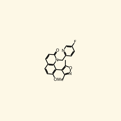 COc1ccc2ccc(=O)n(Cc3ccc(F)cn3)c2c1-c1c(C)noc1C